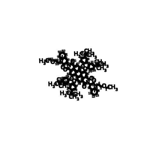 CCOCCNC(=O)C(CC1CCCCC1)N1C(=O)c2cc(Oc3ccc(C(C)(C)C)cc3)c3c4c(Oc5ccc(C(C)(C)C)cc5)cc5c6c(cc(Oc7ccc(C(C)(C)C)cc7)c(c7c(Oc8ccc(C(C)(C)C)cc8)cc(c2c37)C1=O)c64)C(=O)N(C(CC1CCCCC1)C(=O)NCCOCC)C5=O